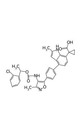 Cc1cc2c(-c3ccc(-c4onc(C)c4NC(=O)OC(C)c4ccccc4Cl)cc3)ccc(C3(C(=O)O)CC3)c2[nH]1